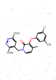 COc1nnc(C=O)cc1Cn1ccc(C)c(Oc2cc(Cl)cc(C#N)c2)c1=O